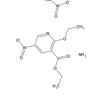 CCOC(=O)c1cc([N+](=O)[O-])cnc1OCC.N.O=[N+]([O-])O